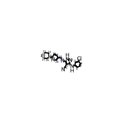 N#Cc1c(Nc2cccc(Cl)c2)n[nH]c1/N=C/c1ccc(N2CCOCC2)nc1